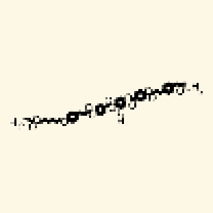 C=CC(=O)Cc1ccc(CCC(=O)Oc2ccc(C(=O)Oc3ccc(OC(=O)c4ccc(OC(=O)CCc5ccc(OCCCCCCOC(=O)C=C)cc5)cc4)c(C)c3)cc2)cc1